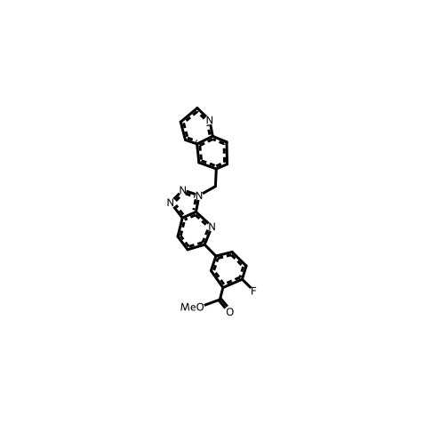 COC(=O)c1cc(-c2ccc3nnn(Cc4ccc5ncccc5c4)c3n2)ccc1F